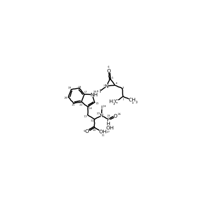 CC(C)CC1C(=O)N1I.O=C(O)C(Cc1c[nH]c2ccccc12)N(I)[PH](=O)O